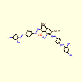 Nc1ccc(/N=N/c2ccc(/N=N/c3c(S(=O)(=O)O)cc4cc(S(=O)(=O)O)c(/N=N/c5ccc(/N=N/c6ccc(N)cc6N)cc5)c(O)c4c3N)cc2)c(N)c1